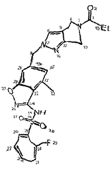 CCC(=O)N1Cc2cn(Cc3cc(C)c4c(NS(=O)(=O)c5ccccc5F)noc4c3)nc2C1